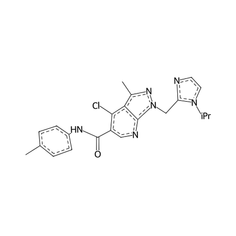 Cc1ccc(NC(=O)c2cnc3c(c(C)nn3Cc3nccn3C(C)C)c2Cl)cc1